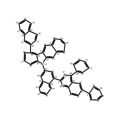 c1ccc(-c2ccc3nc(-c4cc(-n5c6cc7ccccc7cc6c6c(-c7ccc8ccccc8c7)cccc65)cc5ccccc45)nc(-c4ccccc4)c3c2)cc1